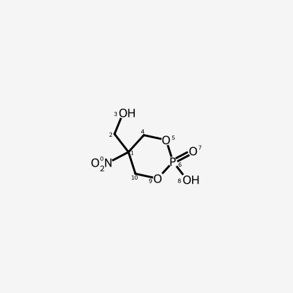 O=[N+]([O-])C1(CO)COP(=O)(O)OC1